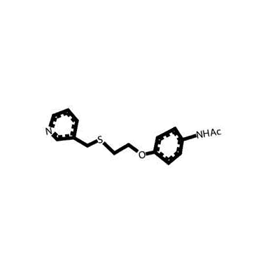 CC(=O)Nc1ccc(OCCSCc2cccnc2)cc1